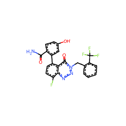 NC(=O)c1ccc(O)cc1-c1ccc(F)c2nnn(Cc3ccccc3C(F)(F)F)c(=O)c12